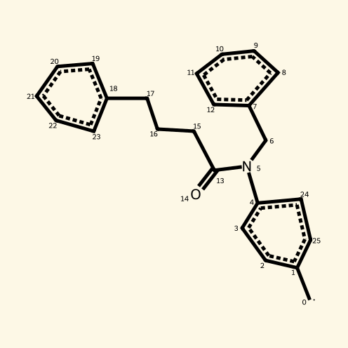 [CH2]c1ccc(N(Cc2ccccc2)C(=O)CCCc2ccccc2)cc1